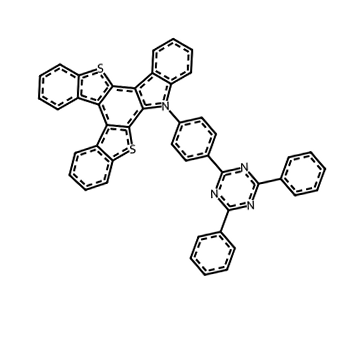 c1ccc(-c2nc(-c3ccccc3)nc(-c3ccc(-n4c5ccccc5c5c6sc7ccccc7c6c6c7ccccc7sc6c54)cc3)n2)cc1